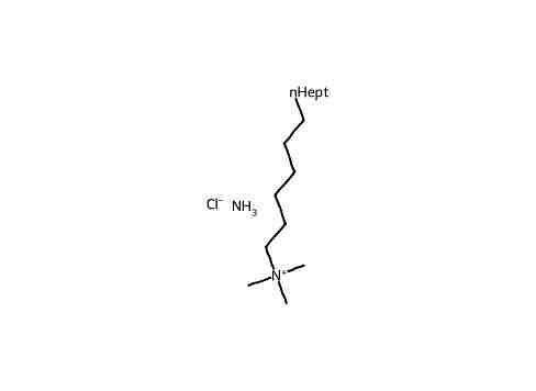 CCCCCCCCCCCCC[N+](C)(C)C.N.[Cl-]